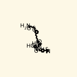 Cc1ncsc1-c1ccc(CNC(=O)[C@@H]2C[C@@H](O)CN2C(=O)[C@@H](NC(=O)CCCCCc2cccc(OC[C@@H](C)CCC(N)=O)c2)C(C)(C)C)cc1